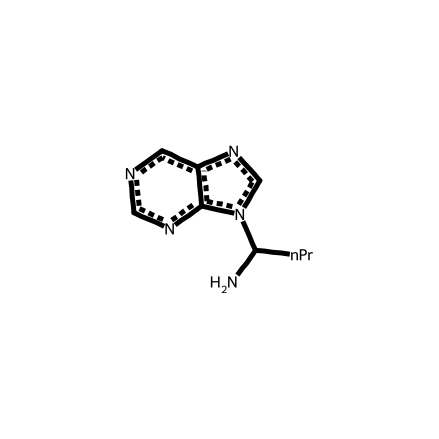 CCCC(N)n1cnc2cncnc21